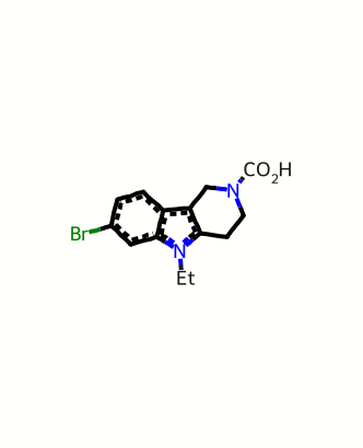 CCn1c2c(c3ccc(Br)cc31)CN(C(=O)O)CC2